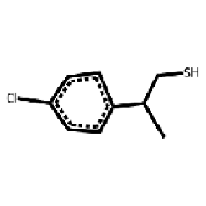 CC(CS)c1ccc(Cl)cc1